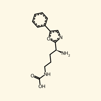 N[C@@H](CCCNC(=O)O)c1ncc(-c2ccccc2)o1